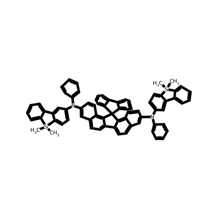 C[Si]1(C)c2ccccc2-c2cc(N(c3ccccc3)c3ccc4c5c(ccc4c3)-c3ccc4cc(N(c6ccccc6)c6ccc7c(c6)-c6ccccc6[Si]7(C)C)ccc4c3C53c4ccccc4-c4ccccc43)ccc21